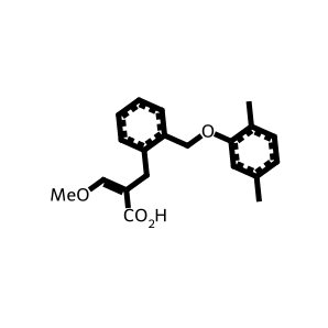 COC=C(Cc1ccccc1COc1cc(C)ccc1C)C(=O)O